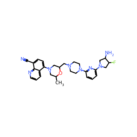 CC1CN(c2ccc(C#N)c3ncccc23)CC(CN2CCN(c3cccc(N4CC(N)C(F)C4)n3)CC2)O1